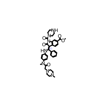 COC(=O)c1ccc2c(c1)N(C(=O)N1CCNCC1)C(=O)/C2=C(\Nc1ccc(N(C)C(=O)CN2CCN(C)CC2)cc1)c1ccccc1